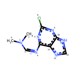 CN(C)/C=N\c1nc(Cl)nc2[nH]cnc12